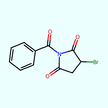 O=C1CC(Br)C(=O)N1C(=O)c1ccccc1